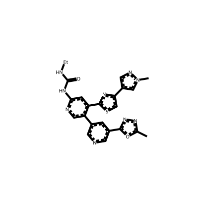 CCNC(=O)Nc1cc(-c2nc(-c3cnn(C)c3)cs2)c(-c2cncc(-c3nnc(C)o3)c2)cn1